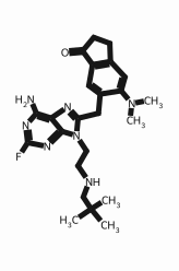 CN(C)c1cc2c(cc1Cc1nc3c(N)nc(F)nc3n1CCNCC(C)(C)C)C(=O)CC2